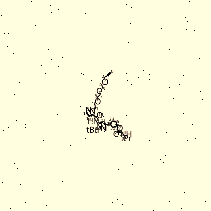 C#CCOCCOCCOCCn1nccc1C(=O)Nc1cc([C@H]2CC[C@@H](OC(=O)NC(C)C)C2)nn1C(C)(C)C